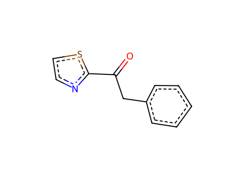 O=C(Cc1ccccc1)c1nccs1